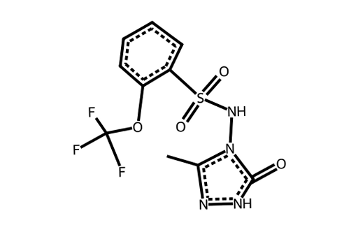 Cc1n[nH]c(=O)n1NS(=O)(=O)c1ccccc1OC(F)(F)F